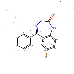 O=C1CN=C(C2=CCCC=C2)c2cc(Br)ccc2N1